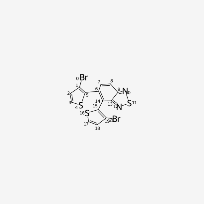 Brc1ccsc1-c1ccc2nsnc2c1-c1sccc1Br